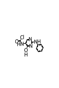 O=C(Cl)Nc1cnc(Nc2ccccc2)nc1O